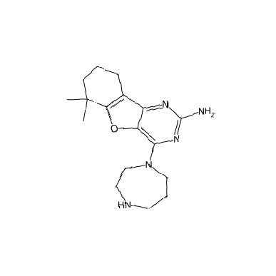 CC1(C)CCCc2c1oc1c(N3CCCNCC3)nc(N)nc21